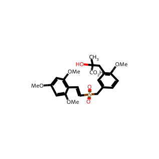 COc1cc(OC)c(C=CS(=O)(=O)Cc2ccc(OC)c(CC(C)(O)C(=O)O)c2)c(OC)c1